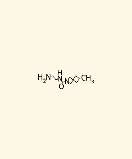 CC1CC2(C1)CN(C(=O)NCCN)C2